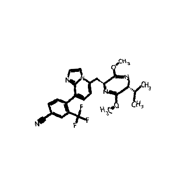 COC1=N[C@H](C(C)C)C(OC)=N[C@H]1Cc1ccc(-c2ccc(C#N)cc2C(F)(F)F)c2nccn12